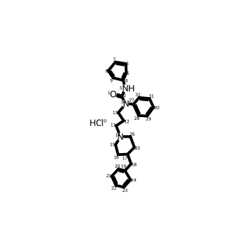 Cl.O=C(Nc1ccccc1)N(CCCN1CCC(Cc2ccccc2)CC1)c1ccccc1